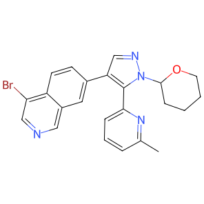 Cc1cccc(-c2c(-c3ccc4c(Br)cncc4c3)cnn2C2CCCCO2)n1